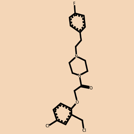 O=C(COc1ccc(Cl)cc1CCl)N1CCN(CCc2ccc(F)cc2)CC1